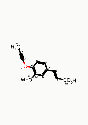 CC#COc1ccc(C=CC(=O)O)cc1OC